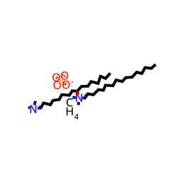 C.CCCCCCCCCCCCCCCC[N+](C)(C)C.CCCCCCCCCCCCCCCC[N+](C)(C)C.O=S(=O)([O-])[O-]